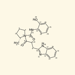 C[C@@H]1CCC[N+]1(C(=O)CCc1nc2ccccc2[nH]1)C(=O)Nc1ccccc1O